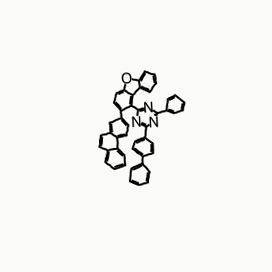 c1ccc(-c2ccc(-c3nc(-c4ccccc4)nc(-c4c(-c5ccc6c(ccc7ccccc76)c5)ccc5oc6ccccc6c45)n3)cc2)cc1